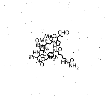 CCC(C)C(C(CC(=O)N1CCCC1C(OC)C(C)C=O)OC)N(C)C(=O)C(NC(=O)C(C(C)C)N(C)C(=O)OCc1ccc(NC(=O)C(N)CCCNC(N)=O)cc1)C(C)C